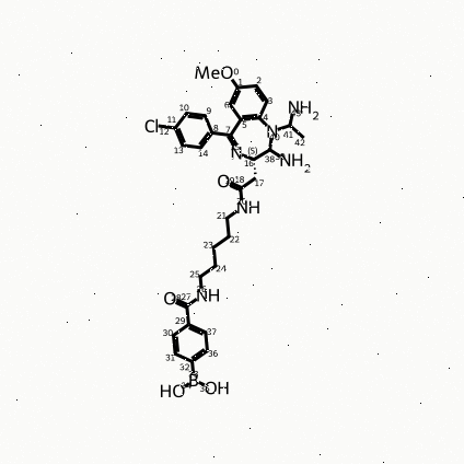 COc1ccc2c(c1)C(c1ccc(Cl)cc1)=N[C@@H](CC(=O)NCCCCCNC(=O)c1ccc(B(O)O)cc1)C(N)N2C(C)N